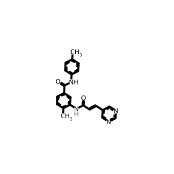 Cc1ccc(NC(=O)c2ccc(C)c(NC(=O)/C=C/c3cncnc3)c2)cc1